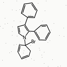 BrC1(n2ccc(-c3ccccc3)c2-c2ccccc2)C=CC=CC1